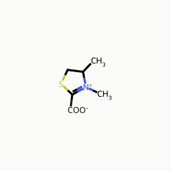 CC1CSC(C(=O)[O-])=[N+]1C